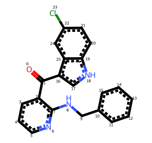 O=C(c1cccnc1NCc1ccccc1)c1c[nH]c2ccc(Cl)cc12